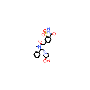 CN(C(=O)Cc1ccc2c(c1)S(=O)(=O)NC2=O)C(CN1CC[C@H](O)C1)c1ccccc1